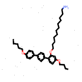 CCCCCOc1ccc(-c2ccc(-c3ccc(OCCCC)cc3OCCCCCCCCCCCCN)cc2)cc1